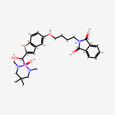 CN1CC(C)(C)CN(C)P1(=O)C(O)c1cc2cc(OCCCCN3C(=O)c4ccccc4C3=O)ccc2s1